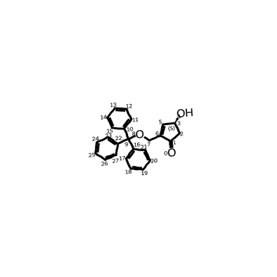 O=C1C[C@H](O)C=C1COC(c1ccccc1)(c1ccccc1)c1ccccc1